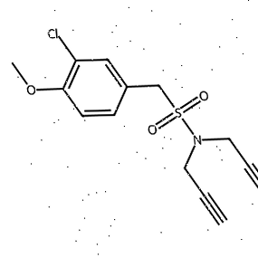 C#CCN(CC#N)S(=O)(=O)Cc1ccc(OC)c(Cl)c1